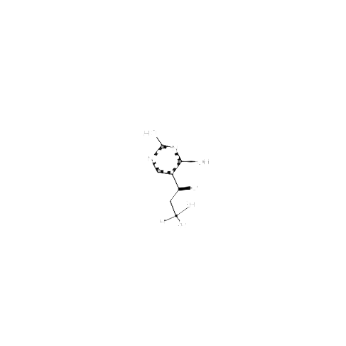 [2H]C([2H])([2H])CC(=O)c1cnc(O)nc1O